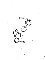 N#Cc1cncc([C@@H]2CCON2C(=O)C2CCN(c3ccnc(C(=O)O)n3)CC2)c1